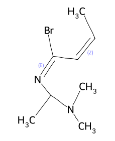 C/C=C\C(Br)=N/C(C)N(C)C